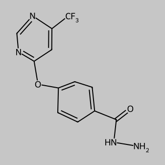 NNC(=O)c1ccc(Oc2cc(C(F)(F)F)ncn2)cc1